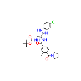 Cc1cc(C(=O)N[C@@H](CNC(=O)OC(C)(C)C)c2nc3cc(Cl)ccc3[nH]2)ccc1C(=O)N1CCCC1